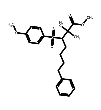 COC(=O)C(C)(C)C(CCCCc1ccccc1)S(=O)(=O)c1ccc(OC)cc1